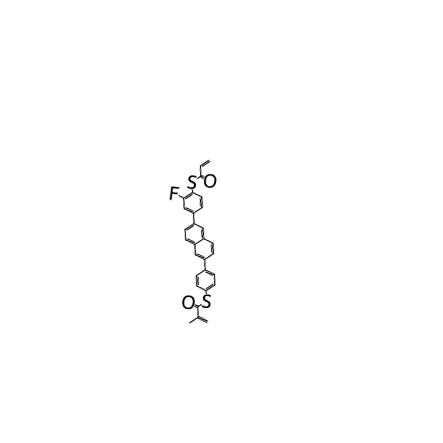 C=CC(=O)Sc1ccc(-c2ccc3cc(-c4ccc(SC(=O)C(=C)C)cc4)ccc3c2)cc1F